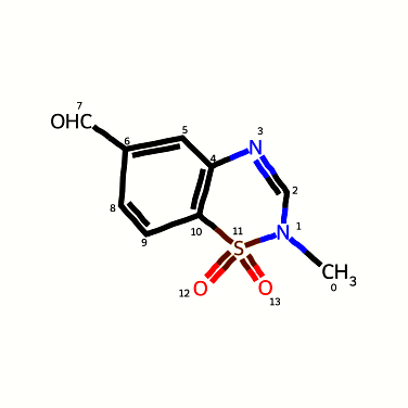 CN1C=Nc2cc(C=O)ccc2S1(=O)=O